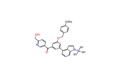 COc1ccc(COc2cc(C(=O)c3ccc(CO)nc3)cc(-c3cccc4c3ccn4[Si](C(C)C)(C(C)C)C(C)C)c2)cc1